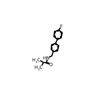 CC(C)C(=O)NCc1ccc(-c2ccc(F)cc2)cc1